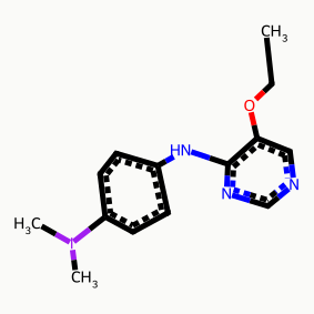 CCOc1cncnc1Nc1ccc(I(C)C)cc1